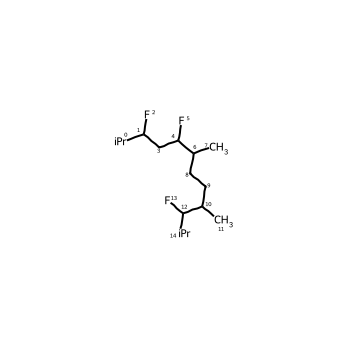 CC(C)C(F)CC(F)C(C)CCC(C)C(F)C(C)C